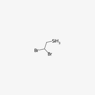 [SiH3]CC(Br)Br